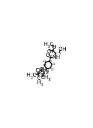 COC(=O)[C@H](CO)NC(=O)[C@H]1CC[C@@H](O[Si](C)(C)C(C)(C)C)CC1